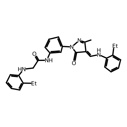 CCc1ccccc1NC=C1C(=O)N(c2cccc(NC(=O)CNc3ccccc3CC)c2)N=C1C